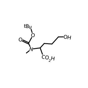 CN(C(=O)OC(C)(C)C)C(CCCO)C(=O)O